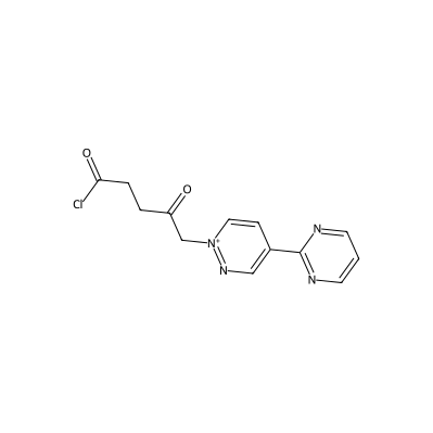 O=C(Cl)CCC(=O)C[n+]1ccc(-c2ncccn2)cn1